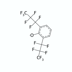 [O]c1c(C(F)(F)C(F)(F)C(F)(F)F)cccc1C(F)(F)C(F)(F)C(F)(F)F